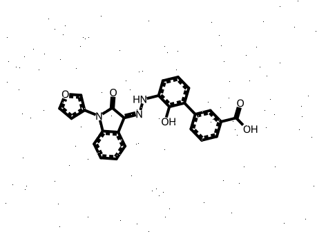 O=C(O)c1cccc(-c2cccc(NN=C3C(=O)N(c4ccoc4)c4ccccc43)c2O)c1